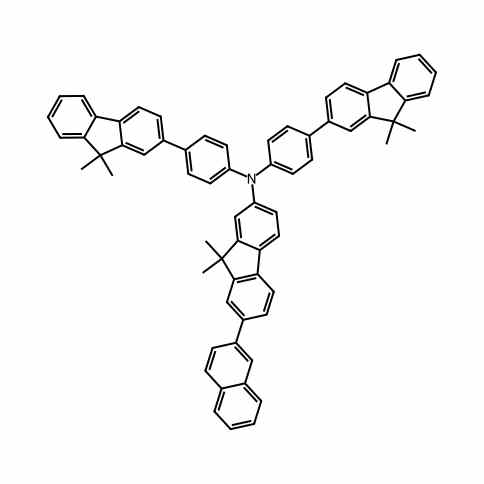 CC1(C)c2ccccc2-c2ccc(-c3ccc(N(c4ccc(-c5ccc6c(c5)C(C)(C)c5ccccc5-6)cc4)c4ccc5c(c4)C(C)(C)c4cc(-c6ccc7ccccc7c6)ccc4-5)cc3)cc21